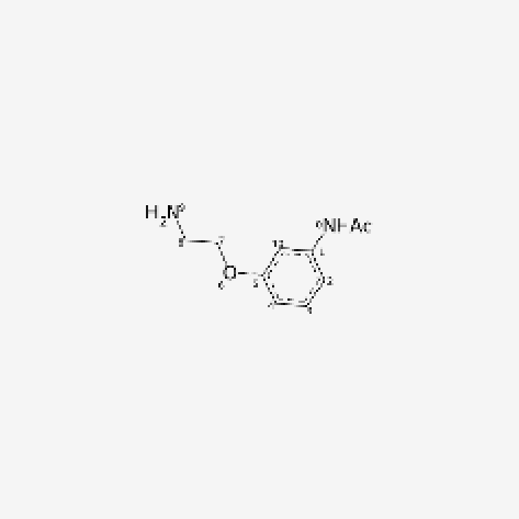 CC(=O)Nc1cccc(OCCN)c1